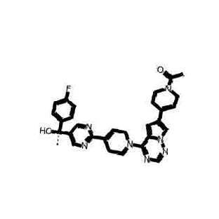 CC(=O)N1CC=C(c2cc3c(N4CC=C(c5ncc([C@@](C)(O)c6ccc(F)cc6)cn5)CC4)ncnn3c2)CC1